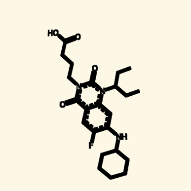 CCC(CC)n1c(=O)n(CCCC(=O)O)c(=O)c2cc(F)c(NC3CCCCC3)cc21